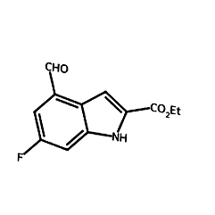 CCOC(=O)c1cc2c(C=O)cc(F)cc2[nH]1